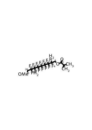 C=C(C)C(=O)OCC(F)(P)C(F)(F)C(F)(F)C(F)(F)C(F)(F)C(F)(F)[C@](F)(P)COC